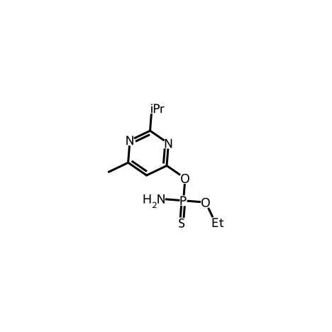 CCOP(N)(=S)Oc1cc(C)nc(C(C)C)n1